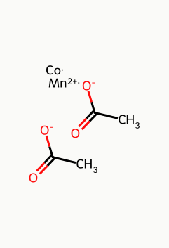 CC(=O)[O-].CC(=O)[O-].[Co].[Mn+2]